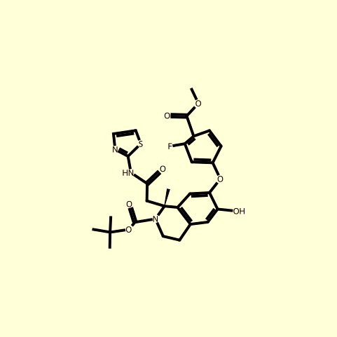 COC(=O)c1ccc(Oc2cc3c(cc2O)CCN(C(=O)OC(C)(C)C)[C@]3(C)CC(=O)Nc2nccs2)cc1F